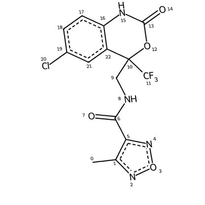 Cc1nonc1C(=O)NCC1(C(F)(F)F)OC(=O)Nc2ccc(Cl)cc21